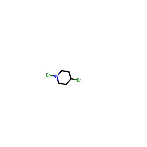 BrC1CCN(Br)CC1